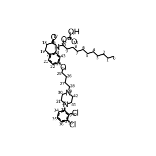 CCCCCCCCCCC(OC(=O)O)N1C(=O)CCc2ccc(OCCCCN3CCN(c4cccc(Cl)c4Cl)CC3)cc21